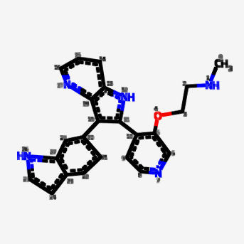 CNCCOc1cnccc1-c1[nH]c2cccnc2c1-c1ccc2cc[nH]c2c1